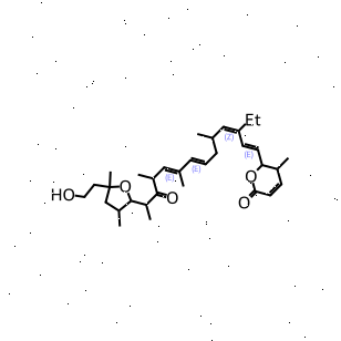 CCC(=C/C(C)C/C=C/C(C)=C/C(C)C(=O)C(C)C1OC(C)(CCO)CC1C)/C=C/C1OC(=O)C=CC1C